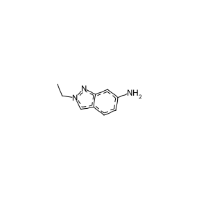 CCn1cc2ccc(N)cc2n1